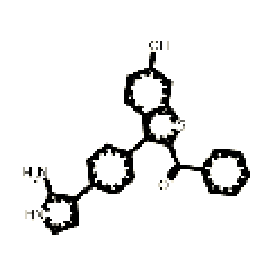 Nc1[nH]ccc1-c1ccc(-c2c(C(=O)c3ccccc3)sc3cc(O)ccc23)cc1